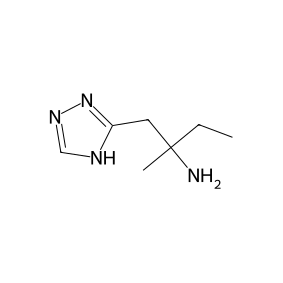 CCC(C)(N)Cc1nnc[nH]1